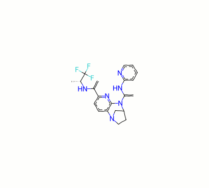 C=C(N[C@H](C)C(F)(F)F)c1ccc2c(n1)N(C(=C)Nc1ccccn1)C1CCN2C1